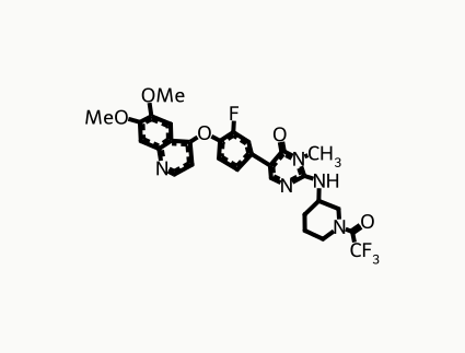 COc1cc2nccc(Oc3ccc(-c4cnc(NC5CCCN(C(=O)C(F)(F)F)C5)n(C)c4=O)cc3F)c2cc1OC